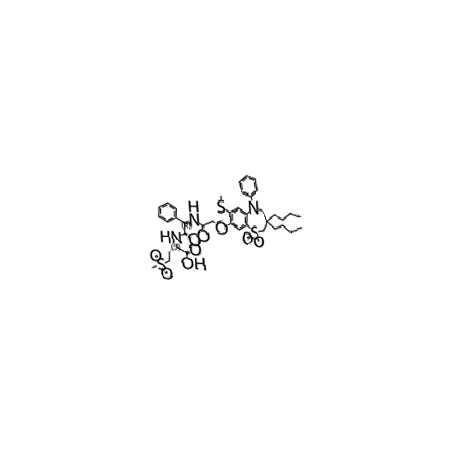 CCCCC1(CCCC)CN(c2ccccc2)c2cc(SC)c(OCC(=O)N[C@@H](C(=O)N[C@@H](CCS(C)(=O)=O)C(=O)O)c3ccccc3)cc2S(=O)(=O)C1